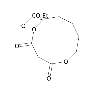 CCOC([O])=O.O=C1CC(=O)OCCCCCO1